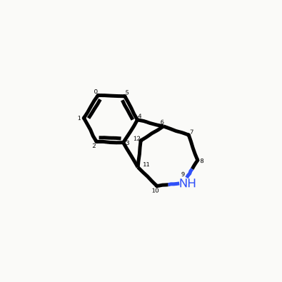 c1ccc2c(c1)C1CCNCC2C1